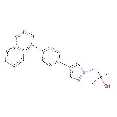 CC(C)(O)Cn1cc(-c2ccc(-c3cncc4cc[c]cc34)cc2)cn1